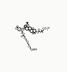 COCCOCCOCCOCC(=O)O[C@H](C)[C@@H](CN[C@]12CC[C@@H](C3(C)CC3)[C@@H]1[C@H]1CC[C@@H]3[C@@]4(C)CC[C@H](OC(=O)CC(C)(C)CC(=O)O)C(C)(C)[C@@H]4CC[C@@]3(C)[C@]1(C)CC2)N1CCS(=O)(=O)CC1